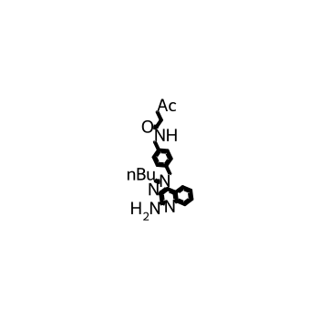 CCCCc1nc2c(N)nc3ccccc3c2n1Cc1ccc(CNC(=O)CCC(C)=O)cc1